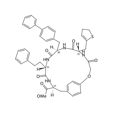 COC(=O)[C@@H]1Cc2ccc(cc2)OCC(=O)N[C@@H](CC2=CCCS2)C(=O)N[C@H](Cc2ccc(-c3ccccc3)cc2)C(=O)N[C@@H](CCc2ccccc2)C(=O)N1